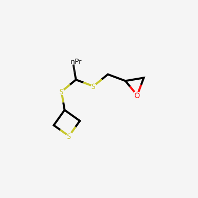 CCCC(SCC1CO1)SC1CSC1